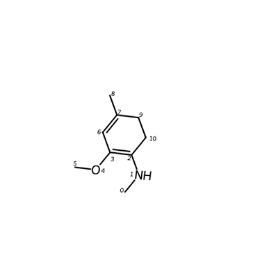 CNC1=C(OC)C=C(C)CC1